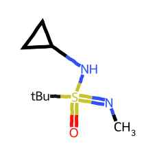 CN=S(=O)(NC1CC1)C(C)(C)C